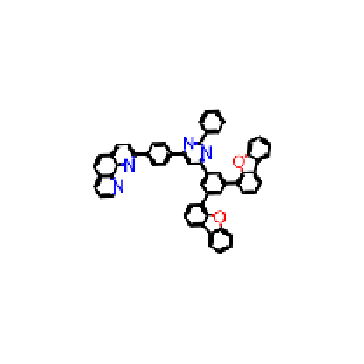 c1ccc(-c2nc(-c3ccc(-c4ccc5ccc6cccnc6c5n4)cc3)cc(-c3cc(-c4cccc5c4oc4ccccc45)cc(-c4cccc5c4oc4ccccc45)c3)n2)cc1